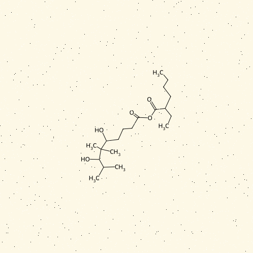 CCCCC(CC)C(=O)OC(=O)CCCC(O)C(C)(C)C(O)C(C)C